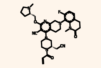 C=CC(=O)N1CCN(c2c(C#N)c(OC[C@@H]3CCCN3C)nc3c2CCN(c2c(F)ccc4c2N(C)C(=O)CC4)C3)C[C@@H]1CC#N